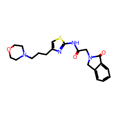 O=C(CN1Cc2ccccc2C1=O)Nc1nc(CCCN2CCOCC2)cs1